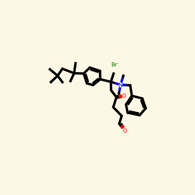 CC(C)(C)CC(C)(C)c1ccc(C(C)(CC(=O)CCC=O)[N+](C)(C)Cc2ccccc2)cc1.[Br-]